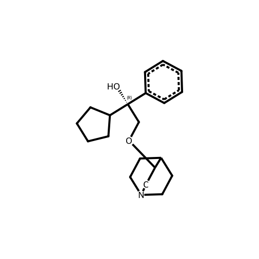 O[C@@](COC1CN2CCC1CC2)(c1ccccc1)C1CCCC1